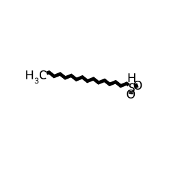 CCCCCCCCCCCCCCCC[SH](=O)=O